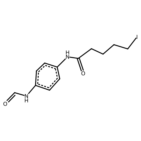 O=CNc1ccc(NC(=O)CCCCI)cc1